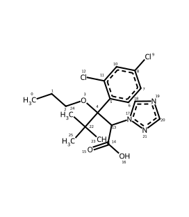 CCCOC(c1ccc(Cl)cc1Cl)(C(C(=O)O)n1cncn1)C(C)(C)C